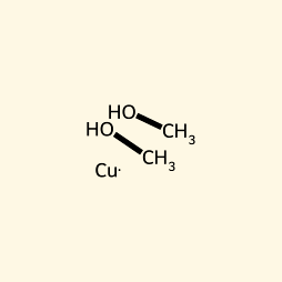 CO.CO.[Cu]